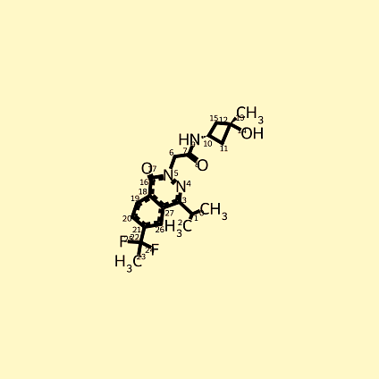 CC(C)c1nn(CC(=O)N[C@H]2C[C@@](C)(O)C2)c(=O)c2ccc(C(C)(F)F)cc12